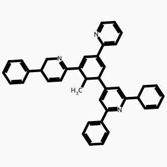 CC1C(C2=NCC(c3ccccc3)C=C2)=CC(c2ccccn2)=CC1c1cc(-c2ccccc2)nc(C2C=CC=CC2)c1